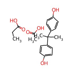 CC(=O)O.CC(C)(c1ccc(O)cc1)c1ccc(O)cc1.CCC(=O)O